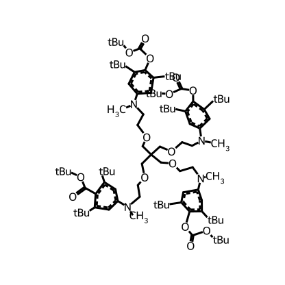 CN(CCOCC(COCCN(C)c1cc(C(C)(C)C)c(OC(=O)OC(C)(C)C)c(C(C)(C)C)c1)(COCCN(C)c1cc(C(C)(C)C)c(OC(=O)OC(C)(C)C)c(C(C)(C)C)c1)COCCN(C)c1cc(C(C)(C)C)c(C(=O)OC(C)(C)C)c(C(C)(C)C)c1)c1cc(C(C)(C)C)c(OC(=O)OC(C)(C)C)c(C(C)(C)C)c1